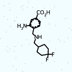 Nc1cc(C(=O)O)ccc1CNCC1CCC(F)(F)CC1